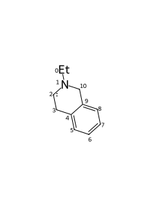 CCN1[C]Cc2ccccc2C1